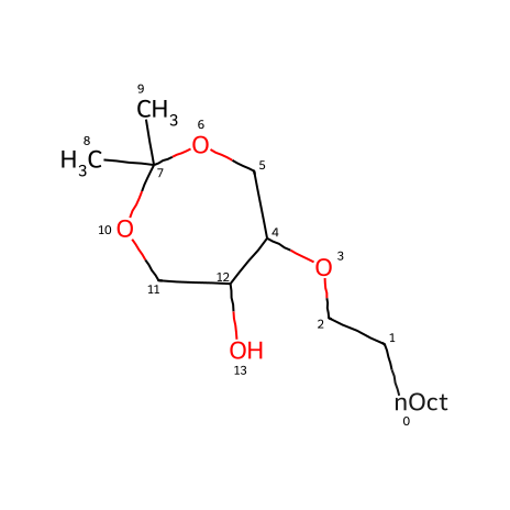 CCCCCCCCCCOC1COC(C)(C)OCC1O